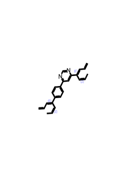 C=C/C=C(\C=C/C)c1ccc(-c2cc(C(/C=C\C)=C/C=C)ncn2)cc1